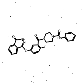 O=C(Nc1ccccc1)N1CCN(C(=O)c2cc(Oc3n[nH]c(=O)c4ccccc34)ccc2F)CC1